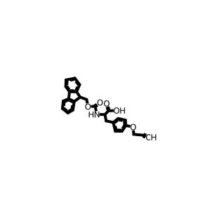 C#CCOc1ccc(CC(NC(=O)OCC2c3ccccc3-c3ccccc32)C(=O)O)cc1